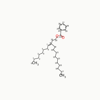 CCCCCCC/C=C(\CCCCCCCCCC)CCOC(=O)c1ccccc1